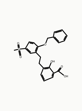 CS(=O)(=O)c1ccc(OCc2ccccc2)c(CCc2cccc(C(=O)O)c2O)c1